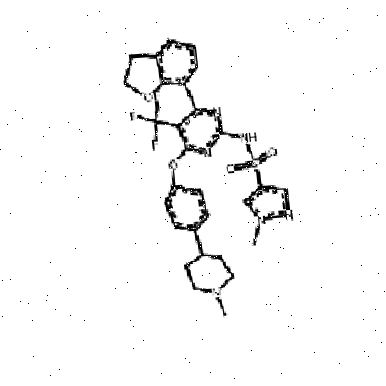 CN1CCC(c2ccc(Oc3nc(NS(=O)(=O)c4cnn(C)c4)nc(-c4cccc5c4OCC5)c3C(F)(F)F)cc2)CC1